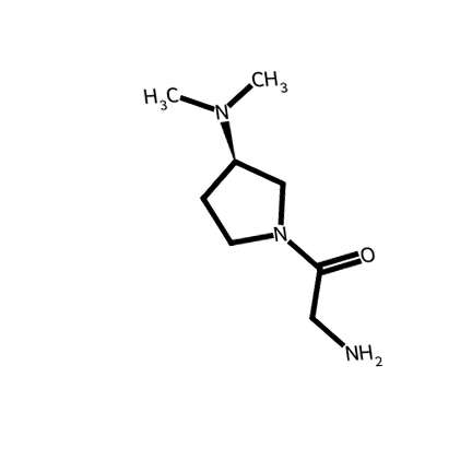 CN(C)[C@@H]1CCN(C(=O)CN)C1